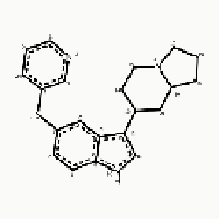 c1cncc(Sc2ccc3[nH]cc(C4CCN5CCCC5C4)c3c2)c1